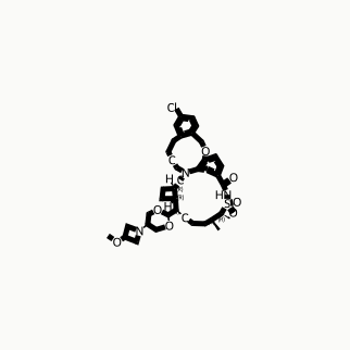 COC1CN([C@H]2CO[C@@H]([C@H]3CCC[C@H](C)[C@@H](C)S(=O)(=O)NC(=O)c4ccc5c(c4)N(CCCCc4cc(Cl)ccc4CO5)C[C@@H]4CC[C@H]43)OC2)C1